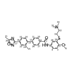 COc1ccc(NC(=O)c2ccc(-c3ccc(-c4noc(C)n4)cc3C)cc2)cc1SCCN(C)C